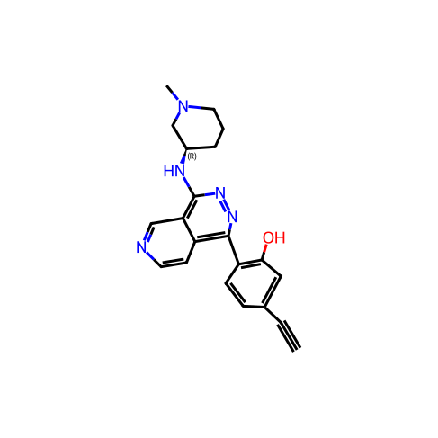 C#Cc1ccc(-c2nnc(N[C@@H]3CCCN(C)C3)c3cnccc23)c(O)c1